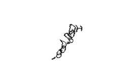 C#COOOOC#COOOO